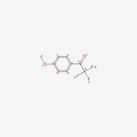 COc1ccc(C(=O)C(F)(F)I)cc1